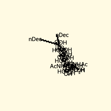 CCCCCCCCCCCCC/C=C/[C@@H](O)[C@H](CO[C@@H]1OC(CO)[C@@H](O[C@@H]2OC(CO)[C@H](O[C@@H]3OC(CO)[C@H](O)[C@H](O[C@@H]4OC(CO)[C@H](O)[C@H](O[C@@H]5OC(CO[C@]6(C(=O)O)CC(O)[C@@H](NC(C)=O)C([C@H](O)[C@H](O)CO)O6)[C@H](O)[C@H](O)C5O)C4NC(C)=O)C3O)[C@H](O)C2O)[C@H](O)C1O)NC(=O)CCCCCCCCCCCCCCCCCCCCC